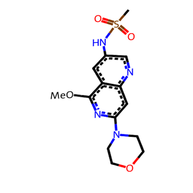 COc1nc(N2CCOCC2)cc2ncc(NS(C)(=O)=O)cc12